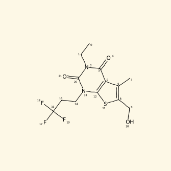 CCn1c(=O)c2c(C)c(CO)sc2n(CCC(F)(F)F)c1=O